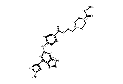 CCCn1cc(-c2nc(Nc3ccc(C(=O)NCCN4CCN(C(=O)OC(C)(C)C)CC4)cc3)nc3[nH]ccc23)cn1